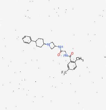 Cc1ccc(C(F)(F)F)cc1C(=O)NCC(=O)NC1CN(C2CCC(c3ccccc3)CC2)C1